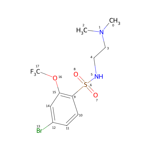 CN(C)CCNS(=O)(=O)c1ccc(Br)cc1OC(F)(F)F